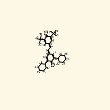 CC(C)(C)C1=CC(=CC=C2C=C(C3CCCCC3)C(=O)C(C3CCCCC3)=C2)C=C(C(C)(C)C)C1=O